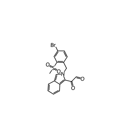 CS(=O)(=O)c1cc(Br)ccc1Cn1cc2ccccc2c1C(=O)C=O